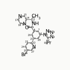 CC(C)c1nnnn1-c1cc(C(=O)NC(C)c2cnccn2)cc(-c2ccc(Br)cn2)c1